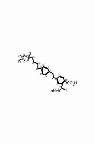 CCCCCC[C@H](C)c1cc(CCc2ccc(CCCC[Si](C)(C)C[Si](C)(C)C)cc2)ccc1C(=O)O